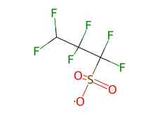 [O]S(=O)(=O)C(F)(F)C(F)(F)C(F)F